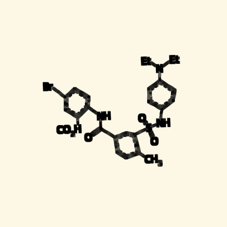 CCN(CC)c1ccc(NS(=O)(=O)c2cc(C(=O)Nc3ccc(Br)cc3C(=O)O)ccc2C)cc1